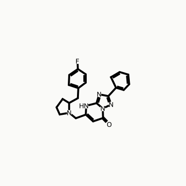 O=c1cc(CN2CCCC2Cc2ccc(F)cc2)[nH]c2nc(-c3ccccc3)nn12